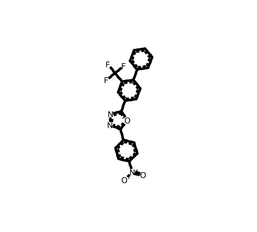 O=[N+]([O-])c1ccc(-c2nnc(-c3ccc(-c4ccccc4)c(C(F)(F)F)c3)o2)cc1